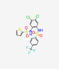 O=S(=O)(Nc1cc(Cl)c(Cl)cc1NS(=O)(=O)c1cccs1)c1ccc(C(F)(F)F)cc1